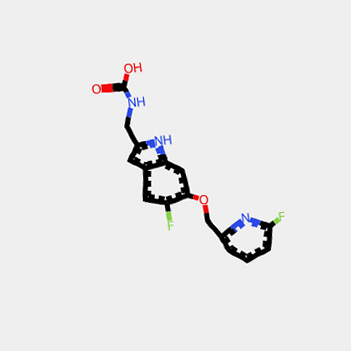 O=C(O)NCc1cc2cc(F)c(OCc3cccc(F)n3)cc2[nH]1